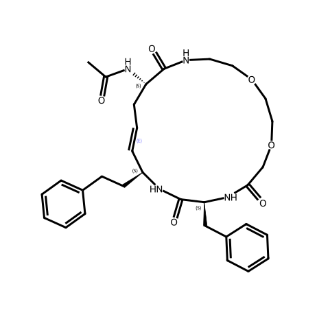 CC(=O)N[C@H]1C/C=C/[C@H](CCc2ccccc2)NC(=O)[C@H](Cc2ccccc2)NC(=O)COCCOCCNC1=O